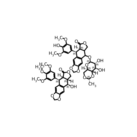 COc1cc([C@@H]2c3cc4c(cc3C(O[C@@H]3O[C@@H]5CO[C@@H](C)O[C@H]5[C@H](O)[C@H]3O)C3COC(=O)[C@@H]32)OCO4)cc(OC)c1O.COc1cc([C@@H]2c3cc4c(cc3[C@H](O)[C@H]3COC(=O)[C@H]23)OCO4)cc(OC)c1OC